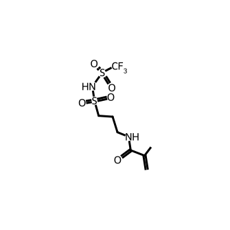 C=C(C)C(=O)NCCCS(=O)(=O)NS(=O)(=O)C(F)(F)F